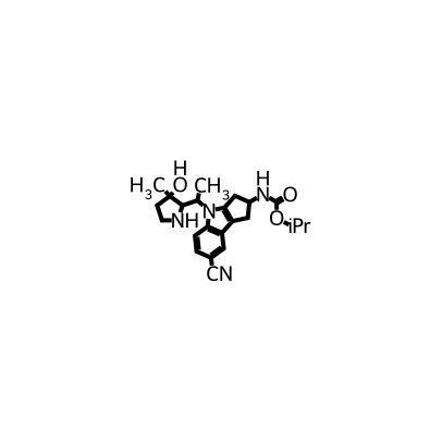 CC(C)OC(=O)NC1Cc2c(n(C(C)C3NCCC3(C)O)c3ccc(C#N)cc23)C1